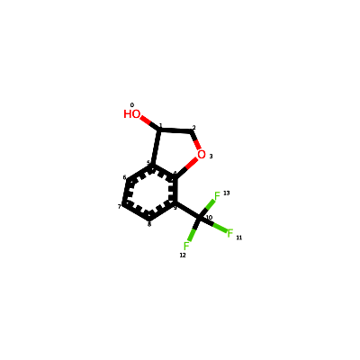 OC1COc2c1cccc2C(F)(F)F